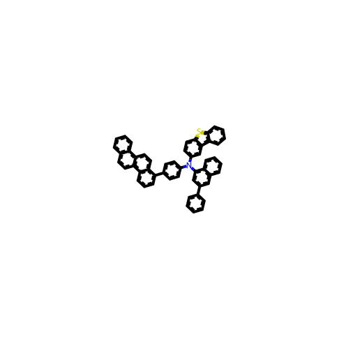 c1ccc(-c2cc(N(c3ccc(-c4cccc5c4ccc4c6ccccc6ccc54)cc3)c3ccc4sc5ccccc5c4c3)c3ccccc3c2)cc1